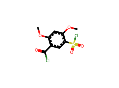 COc1cc(OC)c(S(=O)(=O)Cl)cc1C(=O)Cl